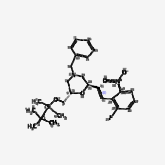 CC(C)(C)[Si](C)(C)OC[C@@H]1CN(Cc2ccccc2)C[C@@H](/C=C/c2c(F)cccc2[N+](=O)[O-])O1